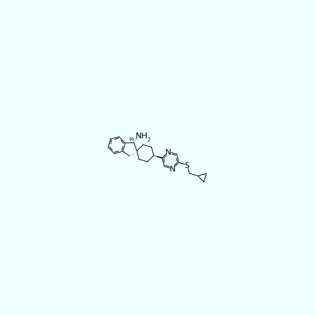 N[C@H]1c2ccccc2C[C@]12CC[C@H](c1cnc(SCC3CC3)cn1)CC2